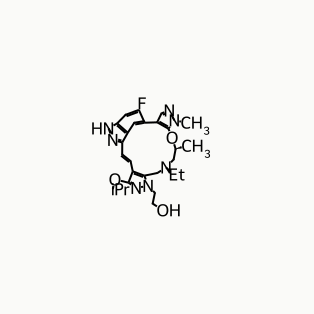 CCN1Cc2c(c(OC(C)C)nn2CCO)/C=C/c2n[nH]c3cc(F)c(cc23)-c2cnn(C)c2O[C@@H](C)C1